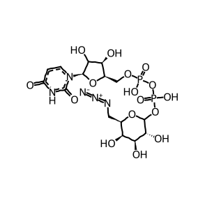 [N-]=[N+]=NC[C@H]1OC(OP(=O)(O)OP(=O)(O)OC[C@H]2O[C@@H](n3ccc(=O)[nH]c3=O)C(O)[C@H]2O)[C@H](O)[C@@H](O)[C@H]1O